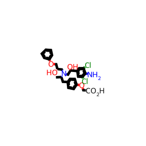 CC(Cc1ccc(OCC(=O)O)cc1)N(CC(O)COc1ccccc1)CC(O)c1cc(Cl)c(N)c(Cl)c1